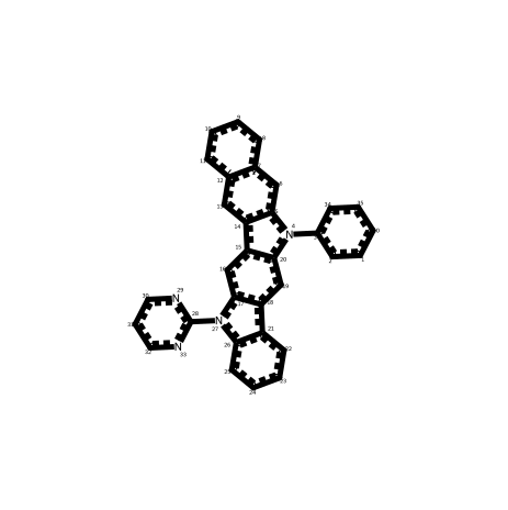 c1ccc(-n2c3cc4ccccc4cc3c3cc4c(cc32)c2ccccc2n4-c2ncccn2)cc1